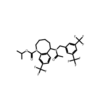 CC(=O)N(Cc1cc(C(F)(F)F)cc(C(F)(F)F)c1)C1CCCCN(C(=O)OC(C)C)c2cc(C(F)(F)F)ccc21